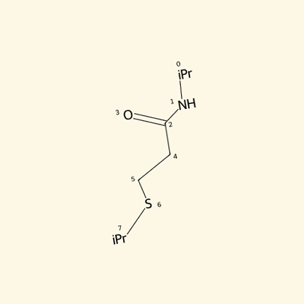 CC(C)NC(=O)CCSC(C)C